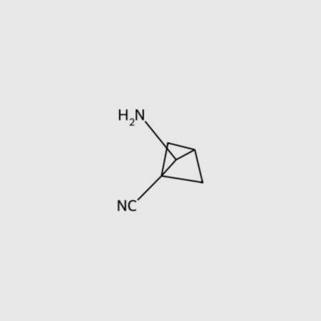 N#CC12CC(C1)C2N